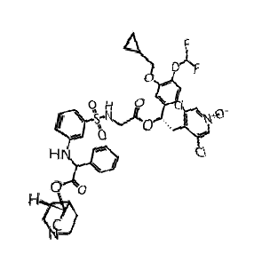 O=C(CNS(=O)(=O)c1cccc(NC(C(=O)O[C@H]2CN3CCC2CC3)c2ccccc2)c1)O[C@@H](Cc1c(Cl)c[n+]([O-])cc1Cl)c1ccc(OC(F)F)c(OCC2CC2)c1